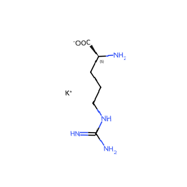 N=C(N)NCCC[C@H](N)C(=O)[O-].[K+]